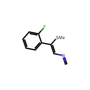 C=N/C=C(\SC)c1ccccc1F